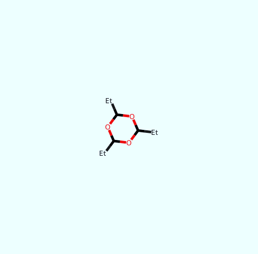 CCC1OC(CC)OC(CC)O1